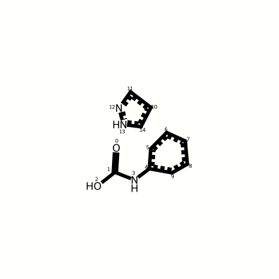 O=C(O)Nc1ccccc1.c1cn[nH]c1